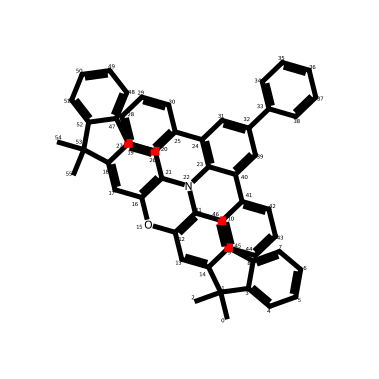 CC1(C)c2ccccc2-c2cc3c(cc21)Oc1cc2c(cc1N3c1c(-c3ccccc3)cc(-c3ccccc3)cc1-c1ccccc1)-c1ccccc1C2(C)C